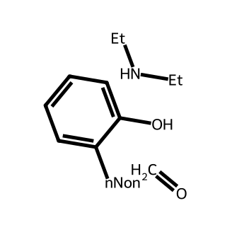 C=O.CCCCCCCCCc1ccccc1O.CCNCC